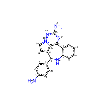 Nc1ccc(C2Nc3ccccc3-c3nc(N)nn4ccc2c34)cc1